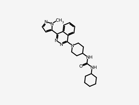 Cn1nccc1-c1nnc(N2CCC(NC(=O)NC3CCCCC3)CC2)c2ccccc12